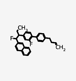 C=CCCc1ccc(-c2ccc(C(CC)C(F)c3ccc4ccccc4c3)cc2F)cc1